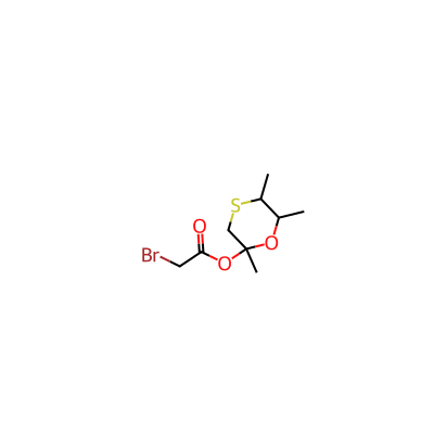 CC1OC(C)(OC(=O)CBr)CSC1C